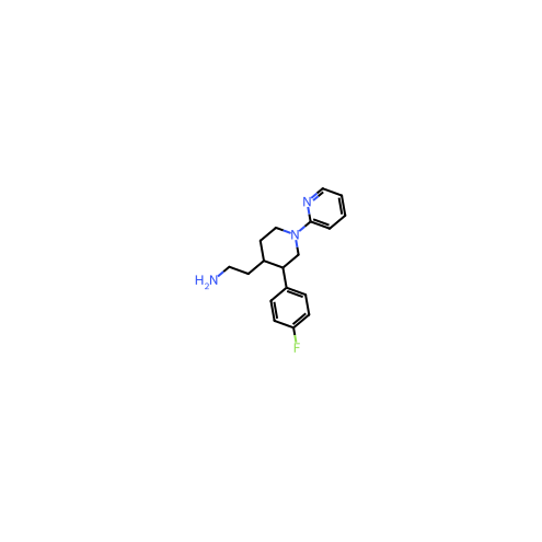 NCCC1CCN(c2ccccn2)CC1c1ccc(F)cc1